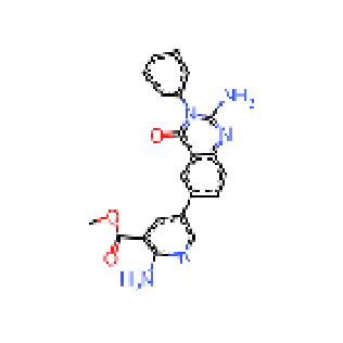 COC(=O)c1cc(-c2ccc3nc(N)n(-c4ccccc4)c(=O)c3c2)cnc1N